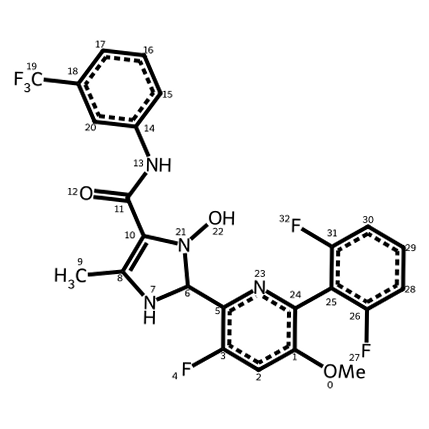 COc1cc(F)c(C2NC(C)=C(C(=O)Nc3cccc(C(F)(F)F)c3)N2O)nc1-c1c(F)cccc1F